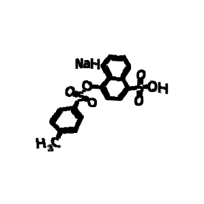 Cc1ccc(S(=O)(=O)Oc2ccc(S(=O)(=O)O)c3ccccc23)cc1.[NaH]